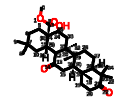 COC(=O)[C@]12CCC(C)(C)C[C@H]1C1C(=O)C[C@@H]3[C@@]4(C)CCC(=O)C(C)(C)[C@@H]4CC[C@@]3(C)[C@]1(C)C[C@H]2O